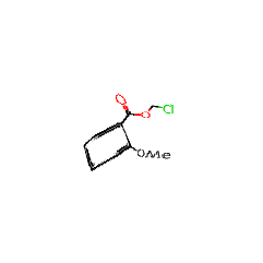 COc1ccccc1C(=O)OCCl